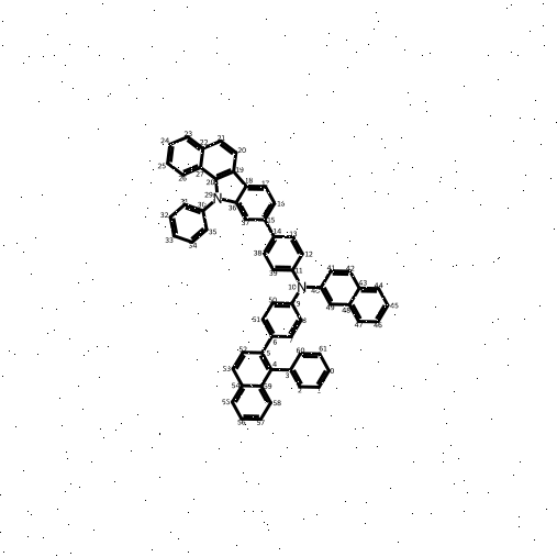 c1ccc(-c2c(-c3ccc(N(c4ccc(-c5ccc6c7ccc8ccccc8c7n(-c7ccccc7)c6c5)cc4)c4ccc5ccccc5c4)cc3)ccc3ccccc23)cc1